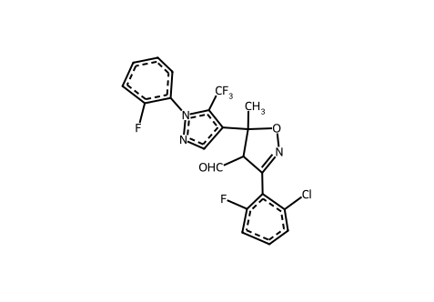 CC1(c2cnn(-c3ccccc3F)c2C(F)(F)F)ON=C(c2c(F)cccc2Cl)C1C=O